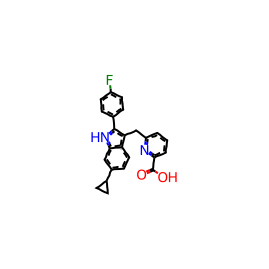 O=C(O)c1cccc(Cc2c(-c3ccc(F)cc3)[nH]c3cc(C4CC4)ccc23)n1